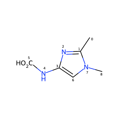 Cc1nc(NC(=O)O)cn1C